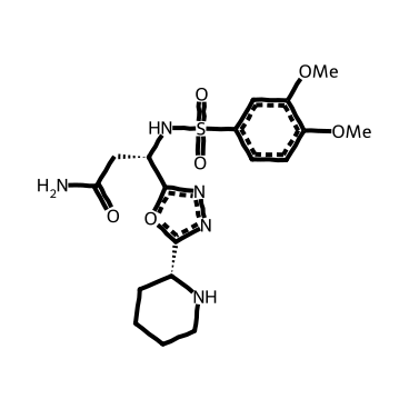 COc1ccc(S(=O)(=O)N[C@@H](CC(N)=O)c2nnc([C@H]3CCCCN3)o2)cc1OC